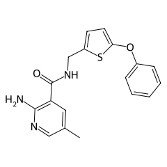 Cc1cnc(N)c(C(=O)NCc2ccc(Oc3ccccc3)s2)c1